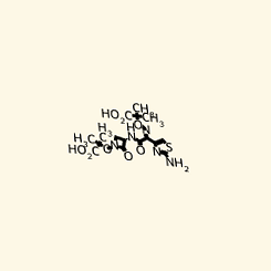 CC(C)(O/N=C(\C(=O)N[C@H]1CN(OC(C)(C)C(=O)O)C1=O)c1csc(N)n1)C(=O)O